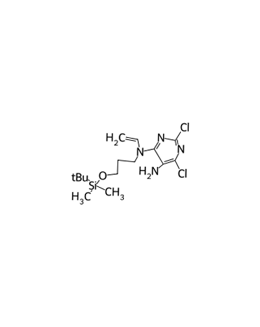 C=CN(CCCO[Si](C)(C)C(C)(C)C)c1nc(Cl)nc(Cl)c1N